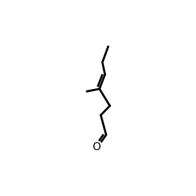 CC/C=C(\C)CCC=O